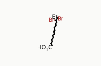 CCC(Br)C(Br)CC=CCC=CCCCCCCCC(=O)O